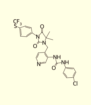 CC1(C)C(=O)N(c2ccc(SC(F)(F)F)cc2)C(=O)N1Cc1ccncc1NC(=O)Nc1ccc(Cl)cc1